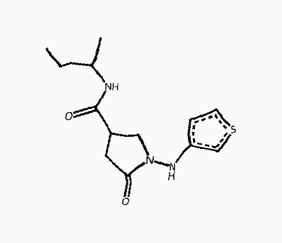 CCC(C)NC(=O)C1CC(=O)N(Nc2ccsc2)C1